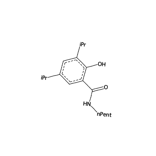 CCCCCNC(=O)c1cc(C(C)C)cc(C(C)C)c1O